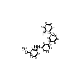 CCOc1cc(Nc2cncc(-c3ccnc(-c4ccccc4F)c3)c2)ccn1